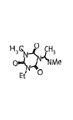 CCn1c(=O)n(C)c(=O)n(C(C)NC)c1=O